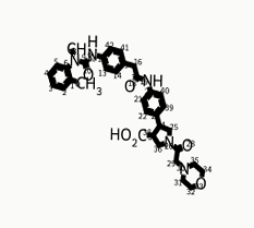 Cc1ccccc1N(C)C(=O)Nc1ccc(CC(=O)Nc2ccc(C3CN(C(=O)CN4CCOCC4)CC3C(=O)O)cc2)cc1